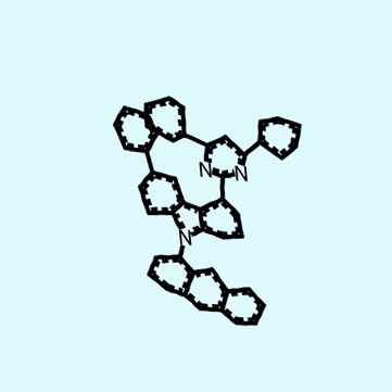 c1ccc(-c2ccc3c(c2)c2c(-c4nc(-c5ccccc5)cc(-c5ccccc5)n4)cccc2n3-c2cccc3cc4ccccc4cc23)cc1